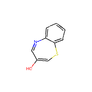 OC1=CSc2ccccc2N=C1